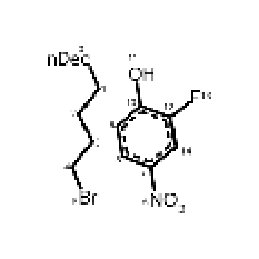 CCCCCCCCCCCCCCBr.O=[N+]([O-])c1ccc(O)c(F)c1